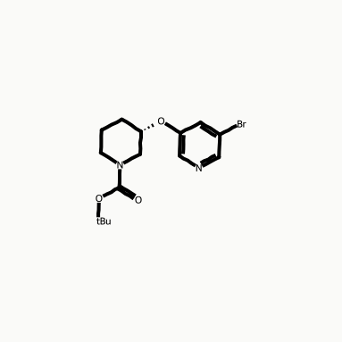 CC(C)(C)OC(=O)N1CCC[C@H](Oc2cncc(Br)c2)C1